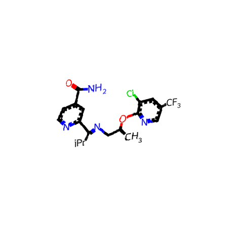 CC(CN=C(c1cc(C(N)=O)ccn1)C(C)C)Oc1ncc(C(F)(F)F)cc1Cl